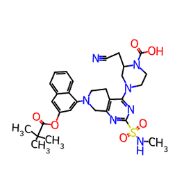 CNS(=O)(=O)c1nc2c(c(N3CCN(C(=O)O)C(CC#N)C3)n1)CCN(c1cc(OC(=O)C(C)(C)C)cc3ccccc13)C2